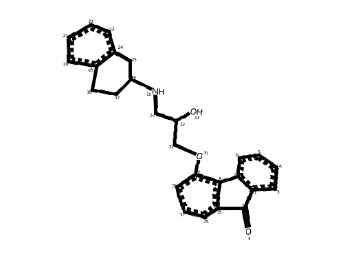 O=C1c2ccccc2-c2c(OCC(O)CNC3CCc4ccccc4C3)cccc21